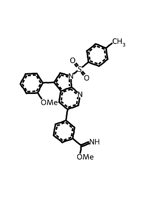 COC(=N)c1cccc(-c2cnc3c(c2)c(-c2ccccc2OC)cn3S(=O)(=O)c2ccc(C)cc2)c1